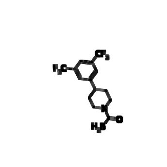 BC(=O)N1CCC(c2cc(C(F)(F)F)cc(C(F)(F)F)c2)CC1